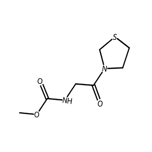 COC(=O)NCC(=O)N1CCSC1